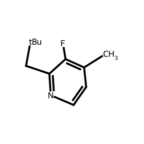 Cc1ccnc(CC(C)(C)C)c1F